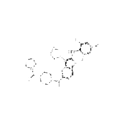 O=C([C@H]1CC[C@H](Nc2ncc3nc(Nc4c(F)cc(F)cc4F)n([C@H]4CCOC4)c3n2)CC1)N1CCCC1